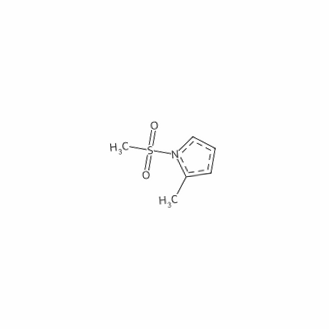 Cc1cccn1S(C)(=O)=O